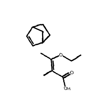 C1=CC2CCC1C2.CCOC(C)=C(C)C(=O)O